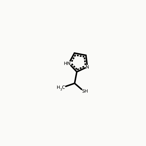 CC(S)c1ncc[nH]1